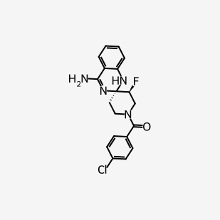 NC1=N[C@@]2(CCN(C(=O)c3ccc(Cl)cc3)C[C@@H]2F)Nc2ccccc21